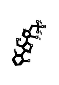 CC(C)(O)Cn1ncc(-c2onc(-c3c(F)cccc3Cl)c2CO)c1C(F)(F)F